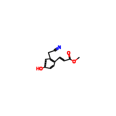 COC(=O)C=Cc1ccc(O)cc1CC#N